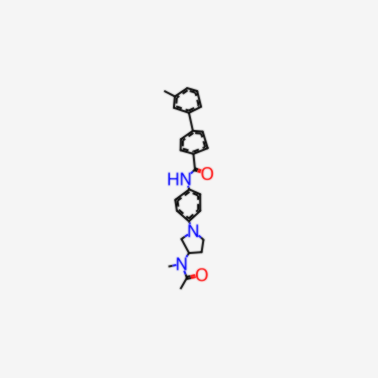 CC(=O)N(C)C1CCN(c2ccc(NC(=O)c3ccc(-c4cccc(C)c4)cc3)cc2)C1